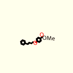 COC(=O)c1ccc(OCCC=Cc2ccccc2)cc1